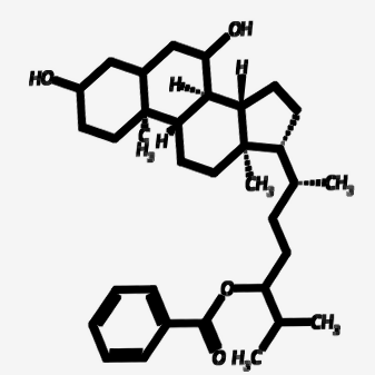 CC(C)C(CC[C@@H](C)[C@H]1CC[C@H]2[C@@H]3C(O)CC4CC(O)CC[C@]4(C)[C@H]3CC[C@]12C)OC(=O)c1ccccc1